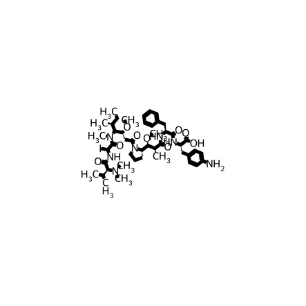 CC[C@H](C)C([C@@H](CC(=O)N1CCC[C@H]1[C@H](OC)[C@@H](C)C(=O)N[C@@H](Cc1ccccc1)C(=O)N[C@@H](Cc1ccc(N)cc1)C(=O)O)OC)N(C)C(=O)C(I)NC(=O)[C@H](C(C)C)N(C)C